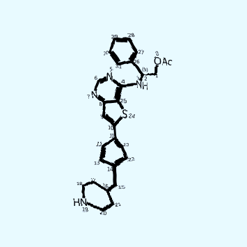 CC(=O)OC[C@@H](Nc1ncnc2cc(-c3ccc(CC4CCNCC4)cc3)sc12)c1ccccc1